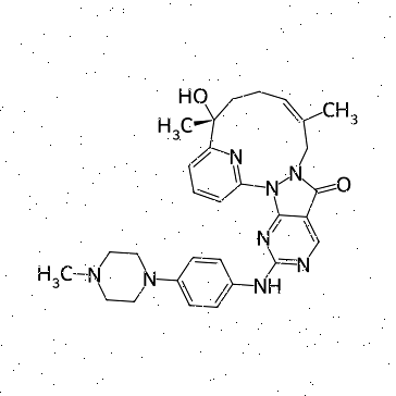 C/C1=C/CC[C@@](C)(O)c2cccc(n2)-n2c3nc(Nc4ccc(N5CCN(C)CC5)cc4)ncc3c(=O)n2C1